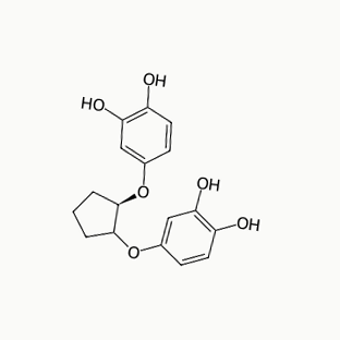 Oc1ccc(OC2CCC[C@H]2Oc2ccc(O)c(O)c2)cc1O